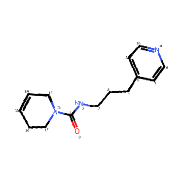 O=C(NCCCc1ccncc1)N1CC=CCC1